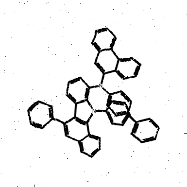 c1ccc(-c2ccc(N(c3cc4ccccc4c4ccccc34)c3cccc4c5c(-c6ccccc6)cc6ccccc6c5n(-c5ccccc5)c34)cc2)cc1